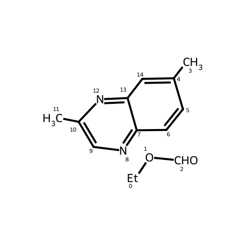 CCOC=O.Cc1ccc2ncc(C)nc2c1